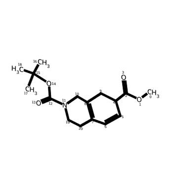 COC(=O)C1C=CC2=C(C1)CN(C(=O)OC(C)(C)C)CC2